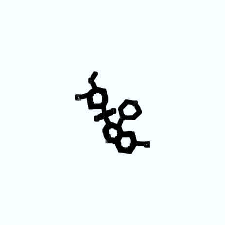 COc1ccc(S(=O)(=O)c2cnc3ccc(Cl)cc3c2N2CCOCC2)cc1Cl